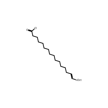 CCCCCCCC/C=C/CCCCCCCCCCCCCC(=O)Cl